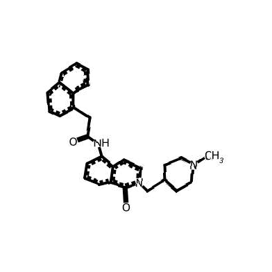 CN1CCC(Cn2ccc3c(NC(=O)Cc4cccc5ccccc45)cccc3c2=O)CC1